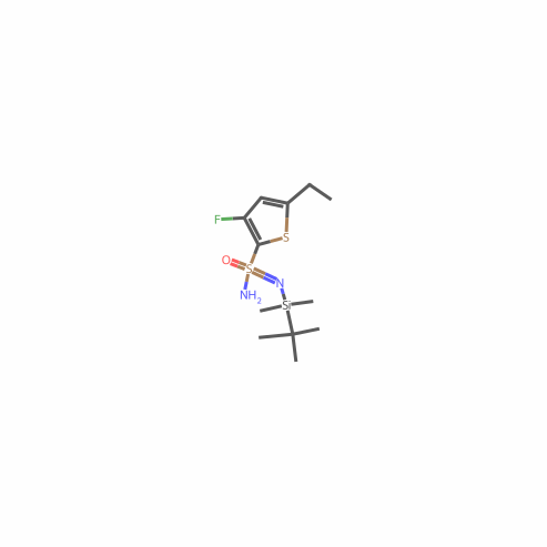 CCc1cc(F)c(S(N)(=O)=N[Si](C)(C)C(C)(C)C)s1